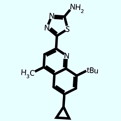 Cc1cc(-c2nnc(N)s2)nc2c(C(C)(C)C)cc(C3CC3)cc12